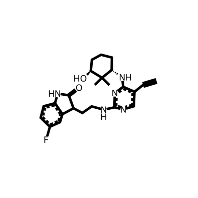 C#Cc1cnc(NCCC2C(=O)Nc3ccc(F)cc32)nc1N[C@H]1CCC[C@H](O)C1(C)C